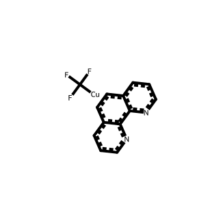 F[C](F)(F)[Cu].c1cnc2c(c1)ccc1cccnc12